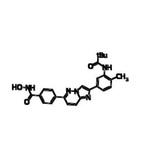 Cc1ccc(-c2cn3nc(-c4ccc(C(=O)NO)cc4)ccc3n2)cc1NC(=O)C(C)(C)C